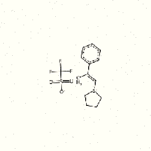 CC(=C[S+]1CCCC1)c1ccccc1.O=S(=O)([O-])C(F)(F)F